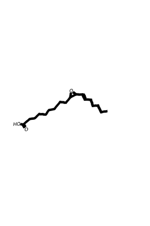 CCCCCC=CC1OC1CCCCCCCCC(=O)O